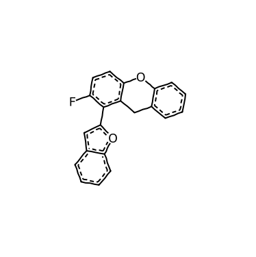 Fc1ccc2c(c1-c1cc3ccccc3o1)Cc1ccccc1O2